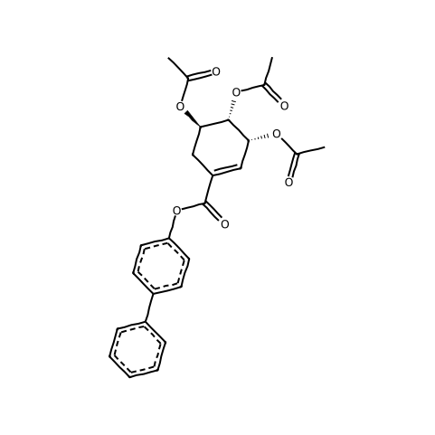 CC(=O)O[C@@H]1[C@H](OC(C)=O)C=C(C(=O)Oc2ccc(-c3ccccc3)cc2)C[C@H]1OC(C)=O